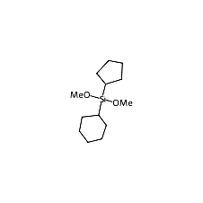 CO[Si](OC)(C1CCCCC1)C1CCCC1